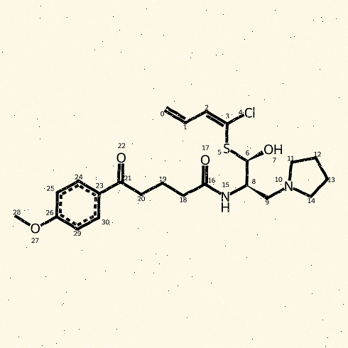 C=C/C=C(/Cl)S[C@@H](O)[C@@H](CN1CCCC1)NC(=O)CCCC(=O)c1ccc(OC)cc1